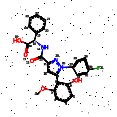 COc1cccc(O)c1-c1cc(C(=O)N[C@H](C(=O)O)c2ccccc2)nn1C1=C=C=C(F)C=C1